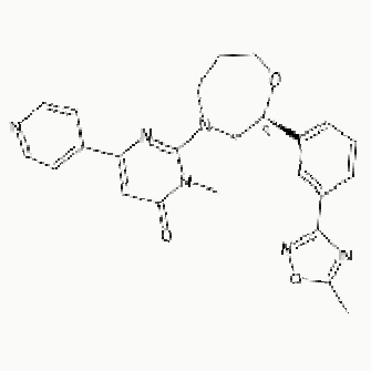 Cc1nc(-c2cccc([C@H]3CN(c4nc(-c5ccncc5)cc(=O)n4C)CCCO3)c2)no1